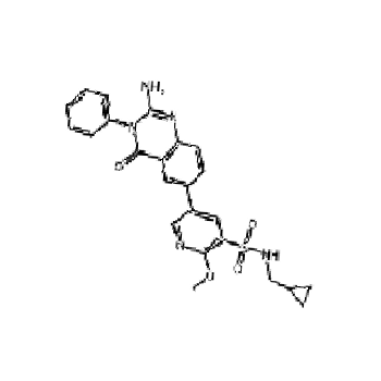 COc1ncc(-c2ccc3nc(N)n(-c4ccccc4)c(=O)c3c2)cc1S(=O)(=O)NCC1CC1